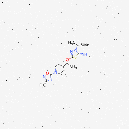 CSC(C)n1nc(OC(C)C2CCN(c3nc(C(F)(F)F)no3)CC2)sc1=N